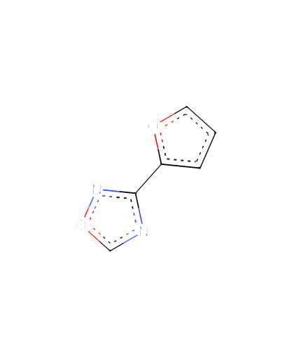 c1coc(-c2ncon2)c1